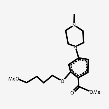 COCCCCOc1cc(N2CCN(C)CC2)ccc1C(=O)OC